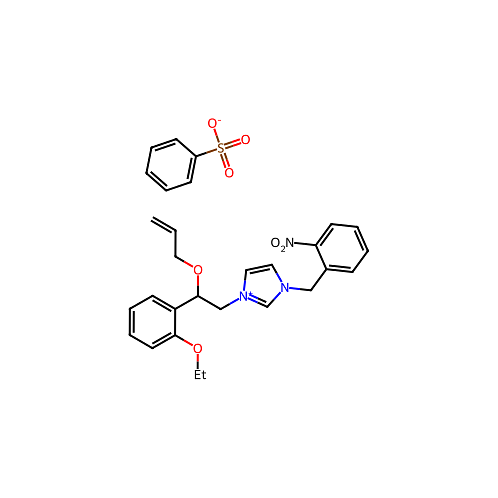 C=CCOC(C[n+]1ccn(Cc2ccccc2[N+](=O)[O-])c1)c1ccccc1OCC.O=S(=O)([O-])c1ccccc1